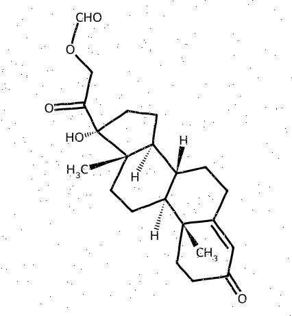 C[C@]12CCC(=O)C=C1CC[C@@H]1[C@@H]2CC[C@@]2(C)[C@H]1CC[C@]2(O)C(=O)COC=O